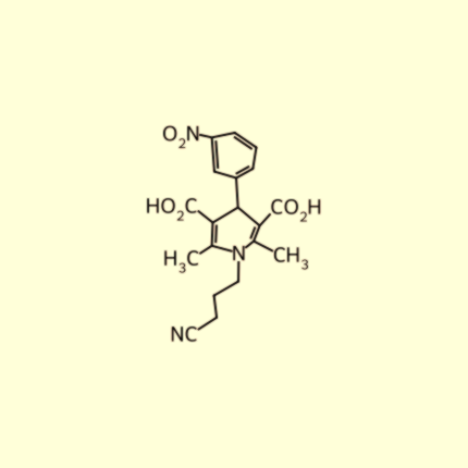 CC1=C(C(=O)O)C(c2cccc([N+](=O)[O-])c2)C(C(=O)O)=C(C)N1CCCC#N